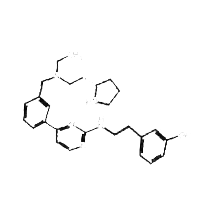 CCN(CC[C@@H]1CCCN1)Cc1cccc(-c2ccnc(NCCc3cccc(O)c3)n2)c1